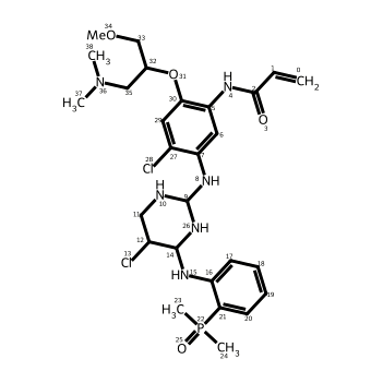 C=CC(=O)Nc1cc(NC2NCC(Cl)C(Nc3ccccc3P(C)(C)=O)N2)c(Cl)cc1OC(COC)CN(C)C